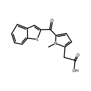 Cn1c(CC(=O)O)ccc1C(=O)c1cc2ccccc2s1